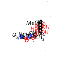 COc1cccc2c1C(=O)c1c(O)c3c(c(O)c1C2=O)C[C@@](O)(C(C)=O)C[C@@H]3O[C@@H]1CC2C(OC3CN(C(=O)OCc4cnc([N+](=O)[O-])n4C)CC(C#N)N32)[C@H](C)O1